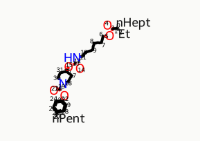 CCCCCCCC(CC)C(=O)OCCCCCCNC(=O)OC1CCN(C(=O)Oc2ccc(CCCCC)cc2)CC1